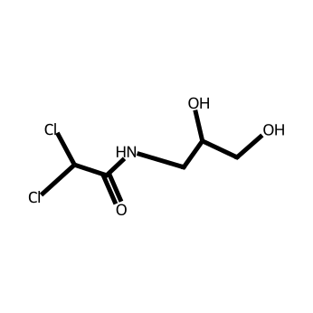 O=C(NCC(O)CO)C(Cl)Cl